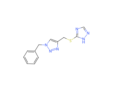 c1ccc(Cn2cc(CSc3ncn[nH]3)nn2)cc1